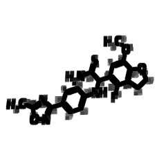 COc1cc(C(Nc2ccc(-c3noc(C)n3)cc2)C(N)=S)c(F)c2c1OCC2